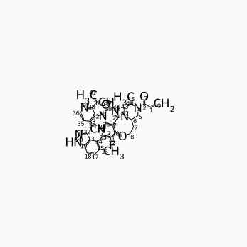 C=CC(=O)N1CC2CCOc3c(F)c(-c4c(C)ccc5[nH]ncc45)nc4c3c(nc(=O)n4-c3c(C)ccnc3C(C)C)N2CC1C